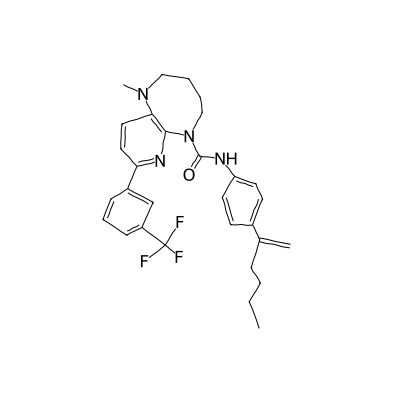 C=C(CCCC)c1ccc(NC(=O)N2CCCCN(C)c3ccc(-c4cccc(C(F)(F)F)c4)nc32)cc1